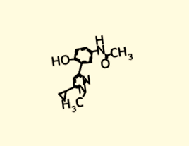 CCn1nc(-c2cc(NC(C)=O)ccc2O)cc1C1CC1